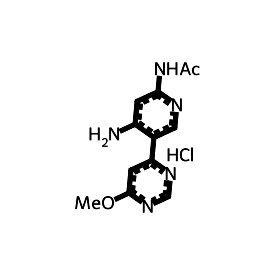 COc1cc(-c2cnc(NC(C)=O)cc2N)ncn1.Cl